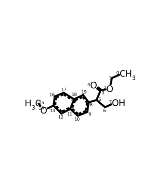 CCOC(=O)C(CO)c1ccc2cc(OC)ccc2c1